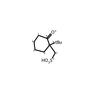 CC(C)(C)C1(CS(=O)(=O)O)CCCCC1=O